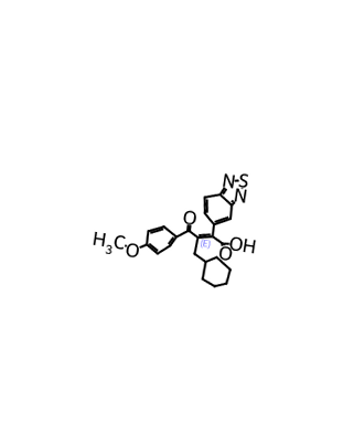 COc1ccc(C(=O)/C(CC2CCCCC2)=C(/C(=O)O)c2ccc3nsnc3c2)cc1